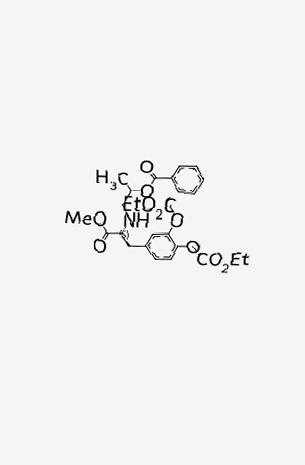 CCOC(=O)Oc1ccc(C[C@H](NCC(C)OC(=O)c2ccccc2)C(=O)OC)cc1OC(=O)OCC